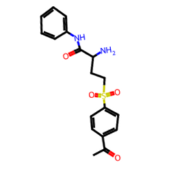 CC(=O)c1ccc(S(=O)(=O)CCC(N)C(=O)Nc2ccccc2)cc1